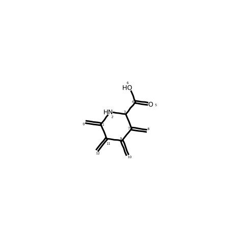 C=C1NC(C(=O)O)C(=C)C(=C)C1=C